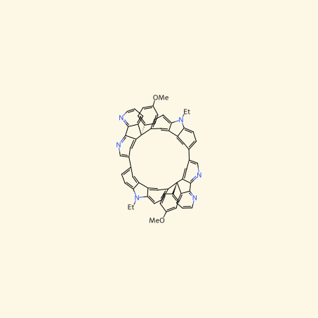 CCn1c2ccc3cc2c2cc(ccc21)[C@@]1(c2ccc(OC)cc2)c2cccnc2-c2ncc(cc21)-c1ccc2c(c1)c1cc(ccc1n2CC)[C@]1(c2ccc(OC)cc2)c2cccnc2-c2ncc-3cc21